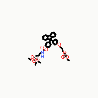 CCO[Si](=O)OCCCOc1ccc(C2(c3ccc(OC(=O)NCCC[Si](OCC)(OCC)OCC)cc3)c3ccccc3-c3ccccc32)cc1